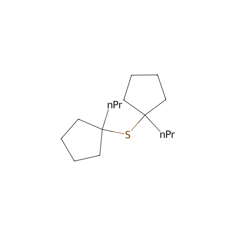 CCCC1(SC2(CCC)CCCC2)CCCC1